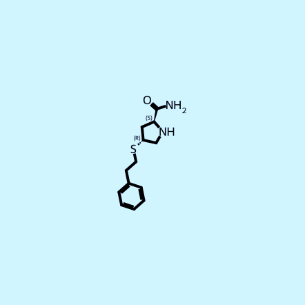 NC(=O)[C@@H]1C[C@@H](SCCc2ccccc2)CN1